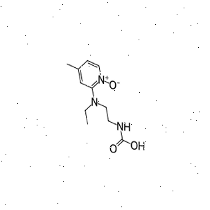 CCN(CCNC(=O)O)c1cc(C)cc[n+]1[O-]